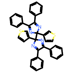 c1ccc(C2=NC(c3ccsc3)(C3(c4ccsc4)N=C(c4ccccc4)C(c4ccccc4)=N3)N=C2c2ccccc2)cc1